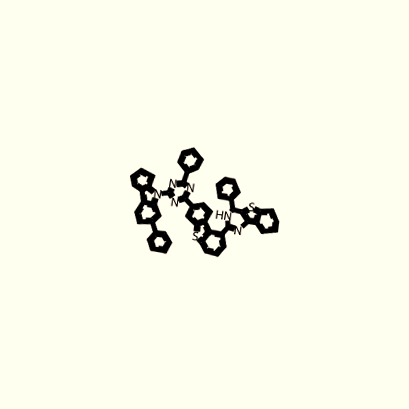 c1ccc(-c2ccc3c4ccccc4n(-c4nc(-c5ccccc5)nc(-c5ccc6c(c5)sc5cccc(C7=Nc8c(sc9ccccc89)C(c8ccccc8)N7)c56)n4)c3c2)cc1